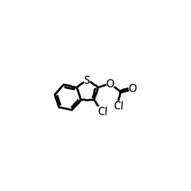 O=C(Cl)Oc1sc2ccccc2c1Cl